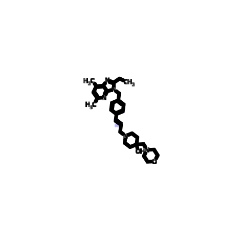 CCc1nc2c(C)cc(C)nc2n1Cc1ccc(/C=C/CN2CCC(O)(CN3CCOCC3)CC2)cc1